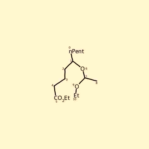 CCCCCC(CCCC(=O)OCC)OC(C)OCC